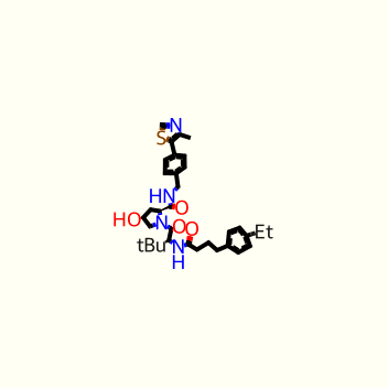 CCc1ccc(CCCC(=O)N[C@H](C(=O)N2C[C@H](O)C[C@H]2C(=O)NCc2ccc(-c3scnc3C)cc2)C(C)(C)C)cc1